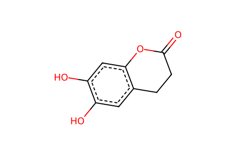 O=C1CCc2cc(O)c(O)cc2O1